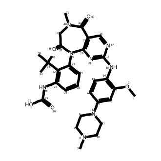 COc1cc(N2CCN(C)CC2)ccc1Nc1ncc2c(n1)N(c1cccc(NC(=O)O)c1C(C)(C)C)C(=O)CN(C)C2=O